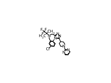 CC(C)(N1Cc2cc(Cl)ccc2-n2c(nnc2C2CCN(c3ncccn3)CC2)C1)C(F)(F)F